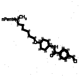 CCCCCN(C)CCCCCCOC1CCC(NC(=O)c2ccc(CCl)cc2)CC1